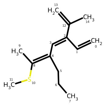 C=C/C(=C\C(CCC)=C(/C)SC)C(=C)C